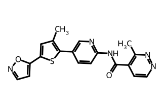 Cc1cc(-c2ccno2)sc1-c1ccc(NC(=O)c2ccnnc2C)nc1